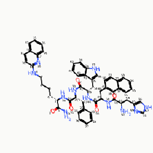 NC(=O)[C@H](CCCCNc1ccc2ccccc2n1)NC(=O)[C@@H](Cc1ccccc1)NC(=O)[C@H](Cc1c[nH]c2ccccc12)NC(=O)[C@@H](Cc1ccc2ccccc2c1)NC(=O)[C@H](N)Cc1c[nH]cn1